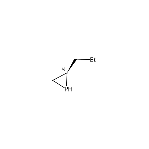 CCC[C@@H]1CP1